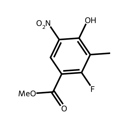 COC(=O)c1cc([N+](=O)[O-])c(O)c(C)c1F